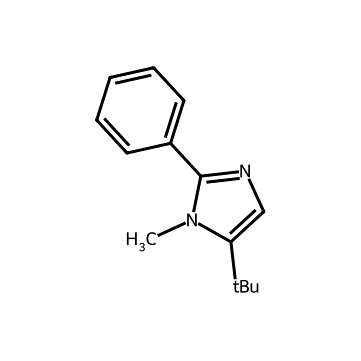 Cn1c(C(C)(C)C)cnc1-c1ccccc1